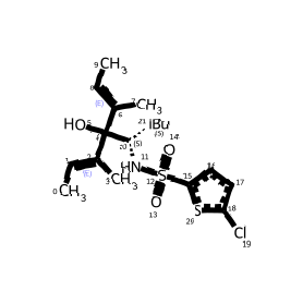 C/C=C(\C)C(O)(/C(C)=C/C)[C@@H](NS(=O)(=O)c1ccc(Cl)s1)[C@@H](C)CC